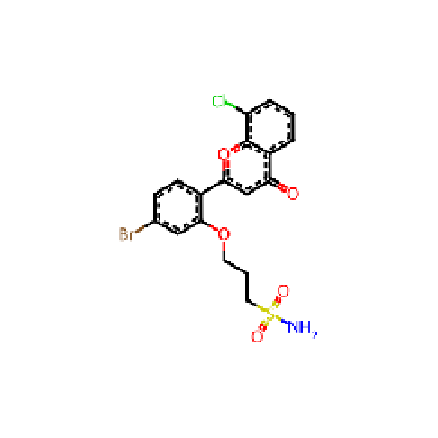 NS(=O)(=O)CCCOc1cc(Br)ccc1-c1cc(=O)c2cccc(Cl)c2o1